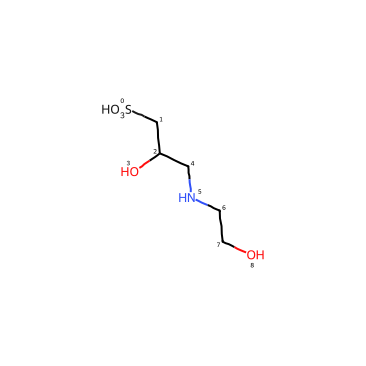 O=S(=O)(O)CC(O)CNCCO